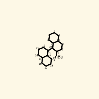 CCCCC1CCC2CCCCC2C1C1CCCC2CCCCC21